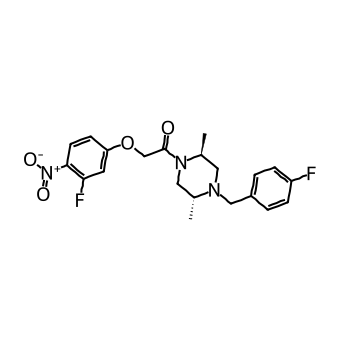 C[C@@H]1CN(C(=O)COc2ccc([N+](=O)[O-])c(F)c2)[C@@H](C)CN1Cc1ccc(F)cc1